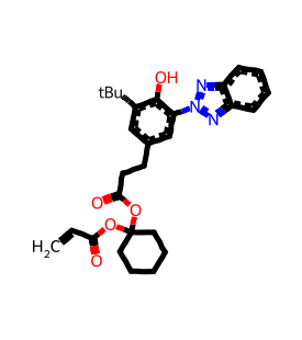 C=CC(=O)OC1(OC(=O)CCc2cc(-n3nc4ccccc4n3)c(O)c(C(C)(C)C)c2)CCCCC1